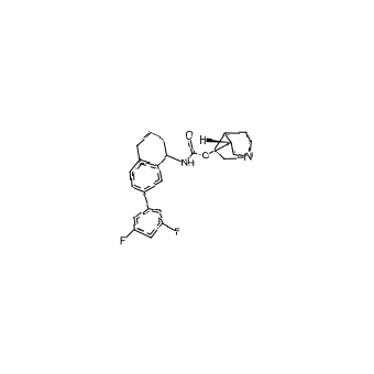 O=C(NC1CCCc2ccc(-c3cc(F)cc(F)c3)cc21)O[C@H]1CN2CCC1CC2